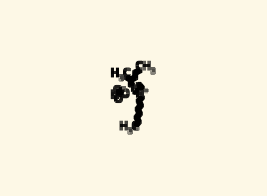 CCCCCCCC[n+]1ccn(CC(CC)CCCC)c1.O=C([O-])[O-].[H+]